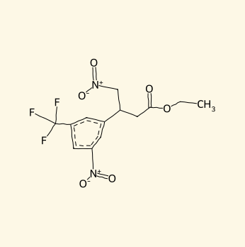 CCOC(=O)CC(C[N+](=O)[O-])c1cc([N+](=O)[O-])cc(C(F)(F)F)c1